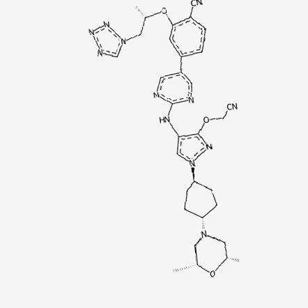 C[C@@H]1CN([C@H]2CC[C@H](n3cc(Nc4ncc(-c5ccc(C#N)c(O[C@@H](C)Cn6cnnn6)c5)cn4)c(OCC#N)n3)CC2)C[C@H](C)O1